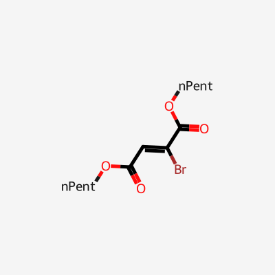 CCCCCOC(=O)C=C(Br)C(=O)OCCCCC